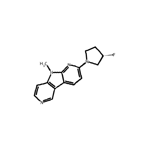 Cn1c2ccncc2c2ccc(N3CC[C@H](F)C3)nc21